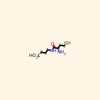 N[C@@H](CCS)C(=O)NCCCC(=O)O